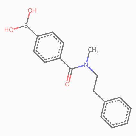 CN(CCc1ccccc1)C(=O)c1ccc(B(O)O)cc1